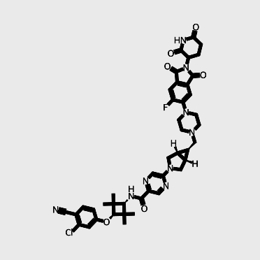 CC1(C)[C@H](NC(=O)c2cnc(N3C[C@@H]4[C@@H](CN5CCN(c6cc7c(cc6F)C(=O)N(C6CCC(=O)NC6=O)C7=O)CC5)[C@@H]4C3)cn2)C(C)(C)[C@H]1Oc1ccc(C#N)c(Cl)c1